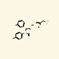 CCN(CC)Cc1cn(C[C@@H]2OC(=O)N(c3ccc(Cl)cc3)[C@H]2c2cccc(OC)c2)nn1